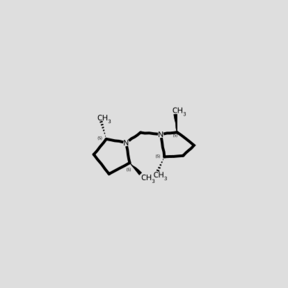 C[C@H]1CC[C@H](C)N1CN1[C@@H](C)CC[C@@H]1C